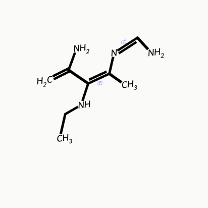 C=C(N)/C(NCC)=C(C)\N=C/N